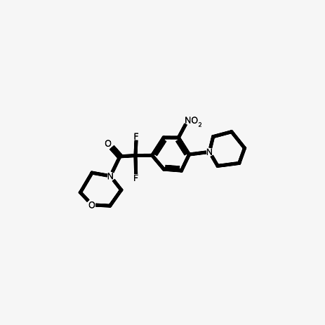 O=C(N1CCOCC1)C(F)(F)c1ccc(N2CCCCC2)c([N+](=O)[O-])c1